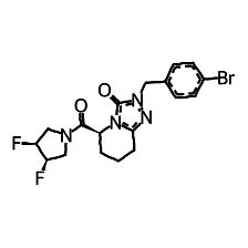 O=C([C@@H]1CCCc2nn(Cc3ccc(Br)cc3)c(=O)n21)N1C[C@@H](F)[C@@H](F)C1